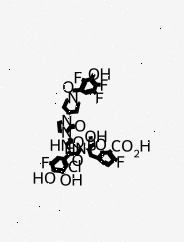 O=C(O)c1c(F)ccc2c1OB(O)[C@@H](NC(=O)C(NC(=O)N1CCN(C3CCN(C(=O)c4cc(F)c(F)c(O)c4F)CC3)C1=O)c1cc(F)c(O)c(O)c1Cl)C2